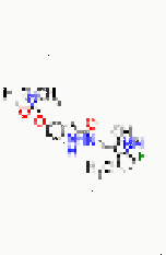 CC1=c2c(CCNC(=O)c3cc4cc(OCC(=O)N(C)C)ccc4[nH]3)c(C)[nH]c2=C(F)CC1